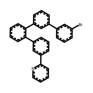 Brc1cccc(-c2cccc(-c3ccccc3-c3cccc(-c4ccccn4)c3)c2)c1